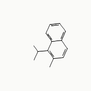 Cc1ccc2ccccc2c1C(C)C(=O)O